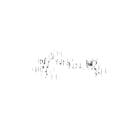 COc1cc(N2CCN(C(=O)CN3CCN(c4ccc5c(c4)n(C)c(=O)n5C4CCC(=O)NC4=O)CC3)CC2)ccc1Nc1ncc(Cl)c(Nc2ccccc2C(C)=O)n1